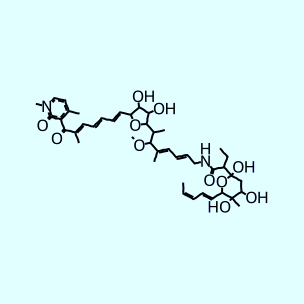 C/C=C\C=C\C1OC(O)(C(CC)C(=O)NC/C=C/C=C(\C)C(OC)C(C)C2OC(/C=C/C=C/C=C(\C)C(=O)c3c(C)ccn(C)c3=O)C(O)C2O)CC(O)C1(C)O